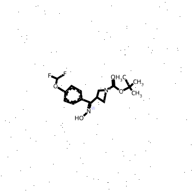 CC(C)(C)OC(=O)N1CC(/C(=N/O)c2ccc(OC(F)F)cc2)C1